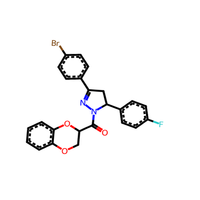 O=C(C1COc2ccccc2O1)N1N=C(c2ccc(Br)cc2)CC1c1ccc(F)cc1